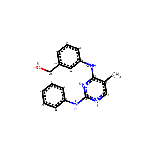 Cc1cnc(Nc2ccccc2)nc1Nc1cccc(CO)c1